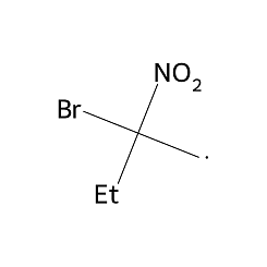 [CH2]CC([CH2])(Br)[N+](=O)[O-]